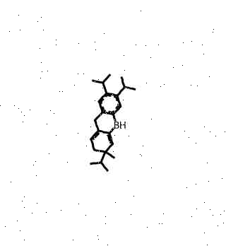 CC(C)c1cc2c(cc1C(C)C)CC1=CCC(C)(C(C)C)C=C1B2